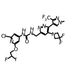 Cn1cc(-c2nnc(CNC(=O)Nc3cc(Cl)nc(OCC(F)I)c3)cc2N2CC(F)(F)C2)c(C(F)(F)F)n1